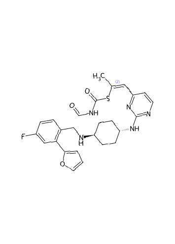 C/C(=C/c1ccnc(N[C@H]2CC[C@H](NCc3ccc(F)cc3-c3ccco3)CC2)n1)SC(=O)NC=O